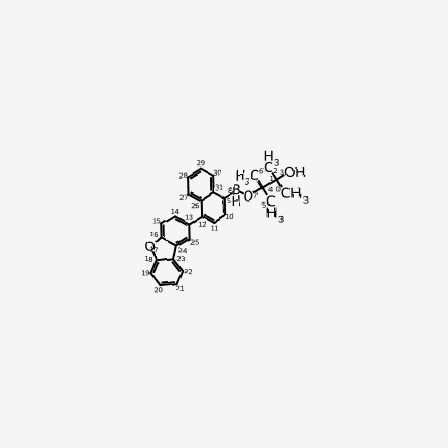 CC(C)(O)C(C)(C)OBc1ccc(-c2ccc3oc4ccccc4c3c2)c2ccccc12